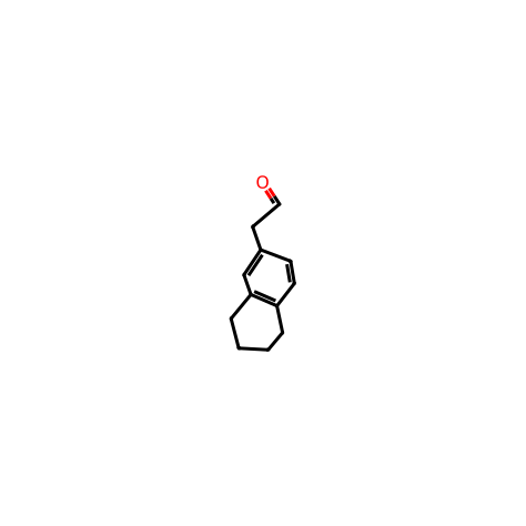 O=CCc1ccc2c(c1)CCCC2